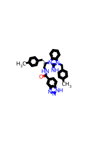 Cc1ccc(C[C@@H](CNC(=O)c2ccc3[nH]nnc3c2)n2c(=N)n(Cc3ccc(C)cc3)c3ccccc32)cc1